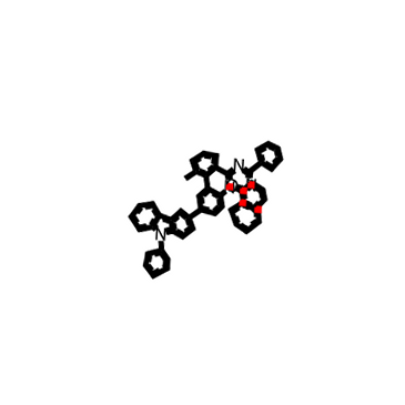 Cc1cccc(-c2nc(-c3ccccc3)nc(-c3ccccc3)n2)c1-c1cc(-c2ccc3c(c2)c2ccccc2n3-c2ccccc2)ccc1Oc1ccccc1